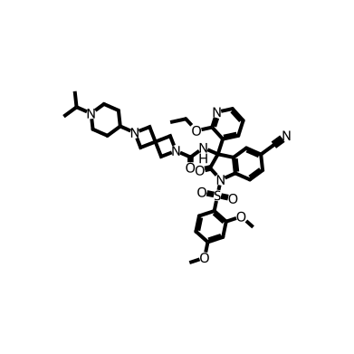 CCOc1ncccc1C1(NC(=O)N2CC3(C2)CN(C2CCN(C(C)C)CC2)C3)C(=O)N(S(=O)(=O)c2ccc(OC)cc2OC)c2ccc(C#N)cc21